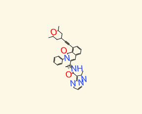 Cc1nn2cccnc2c1C(=O)N[C@@H](C)c1cc2cccc(C#CC3CC(C)OC(C)C3)c2c(=O)n1-c1ccccc1